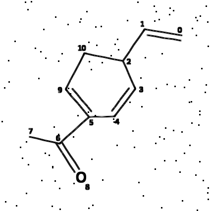 C=CC1C=CC(C(C)=O)=CC1